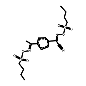 CCCCS(=O)(=O)ON=C(C)c1ccc(C(C#N)=NOS(=O)(=O)CCCC)cc1